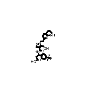 O=C(O)CC(NC(=O)c1cnn(CCc2ccc3c(n2)NCCC3)c1CO)c1ccc(C(F)(F)F)cc1